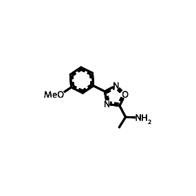 COc1cccc(-c2noc(C(C)N)n2)c1